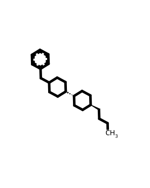 CCCC[C@H]1CC[C@H](C2CCC(Cc3ccccc3)CC2)CC1